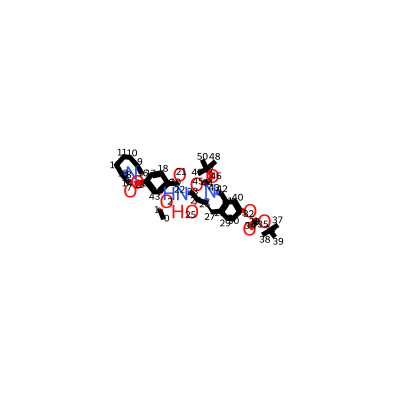 CCOc1cc(C(=O)N2C3CCCC2COC3)ccc1C(=O)NC[C@@H](O)[C@@H]1Cc2ccc(OC(=O)OC(C)(C)C)cc2CN1C(=O)OC(C)(C)C